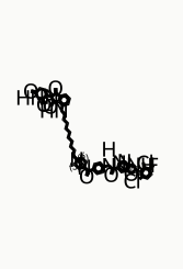 C[C@@H]1CN(C(=O)c2ccc(NC(=O)c3cc4c(nn3)N[C@H](c3c(Cl)ccc(F)c3Cl)O4)cc2)C[C@H](C)N1CCCCCCCCCCNc1cccc2c1C(=O)N(C1CCC(=O)NC1=O)C2=O